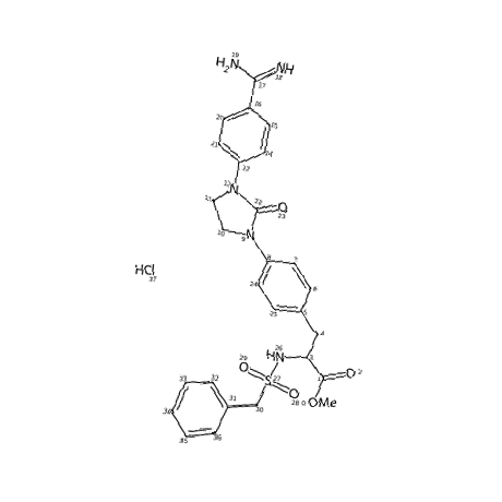 COC(=O)C(Cc1ccc(N2CCN(c3ccc(C(=N)N)cc3)C2=O)cc1)NS(=O)(=O)Cc1ccccc1.Cl